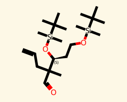 C=CCC(C)(C=O)[C@H](CCO[Si](C)(C)C(C)(C)C)O[Si](C)(C)C(C)(C)C